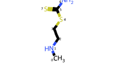 CNCCSC(N)=S